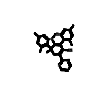 CCCCCCCCOC1=C(c2ccc(C)cc2C)C(O)=C(c2ncncn2)CC1(C)c1ccc(C)cc1C